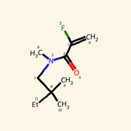 C=C(F)C(=O)N(C)CC(C)(C)CC